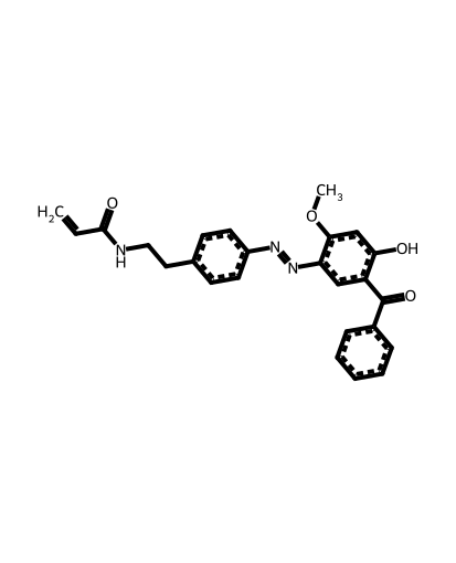 C=CC(=O)NCCc1ccc(N=Nc2cc(C(=O)c3ccccc3)c(O)cc2OC)cc1